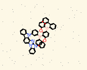 c1ccc(-c2ccccc2B2c3ccccc3Oc3c2ccc2c3B(c3cccc(-n4c5ccccc5c5ccc6c(nc7n(-c8ccccc8)c8ccccc8n67)c54)c3)c3ccccc3O2)cc1